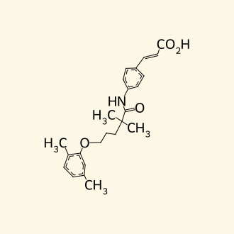 Cc1ccc(C)c(OCCCC(C)(C)C(=O)Nc2ccc(C=CC(=O)O)cc2)c1